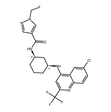 O=C(N[C@@H]1CCC[C@H](Nc2cc(C(F)(F)F)nc3ccc(Cl)cc23)C1)c1cnn(CF)c1